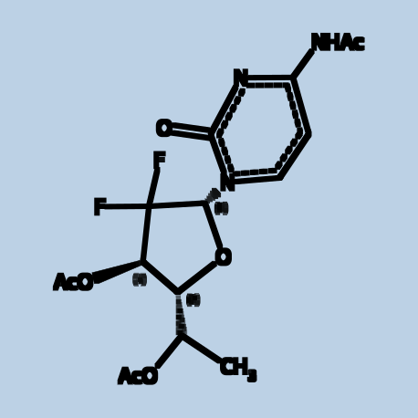 CC(=O)Nc1ccn([C@@H]2O[C@H](C(C)OC(C)=O)[C@@H](OC(C)=O)C2(F)F)c(=O)n1